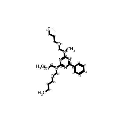 CCCCOCN(C)c1nc(-c2ccccc2)nc(N(COC)COCCCC)n1